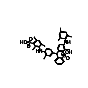 Cc1cc(C)c(Nc2ccc(C(c3ccc(Nc4c(C)cc(C)c(S(=O)(=O)O)c4C)c(C)c3)c3ccccc3S(=O)(=O)O)cc2C)c(C)c1